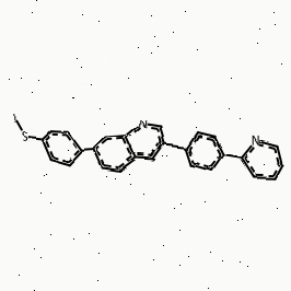 ISc1ccc(-c2ccc3cc(-c4ccc(-c5ccccn5)cc4)cnc3c2)cc1